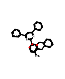 N#Cc1cccc2c1C1c3ccccc3C2c2c(-c3nc(-c4ccccc4)cc(-c4ccccc4)n3)ccc(C#N)c21